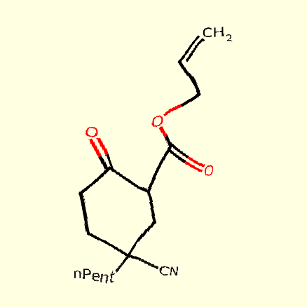 C=CCOC(=O)C1CC(C#N)(CCCCC)CCC1=O